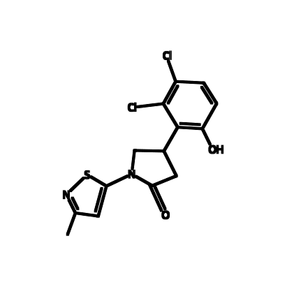 Cc1cc(N2CC(c3c(O)ccc(Cl)c3Cl)CC2=O)sn1